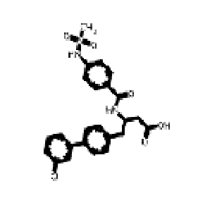 CS(=O)(=O)Nc1ccc(C(=O)NC(CC(=O)O)Cc2ccc(-c3cccc(Cl)c3)cc2)cc1